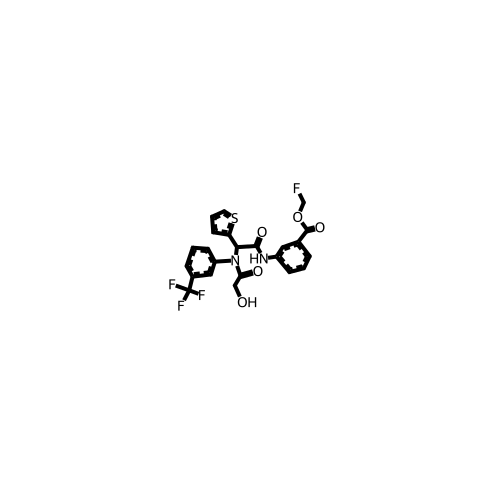 O=C(OCF)c1cccc(NC(=O)C(c2cccs2)N(C(=O)CO)c2cccc(C(F)(F)F)c2)c1